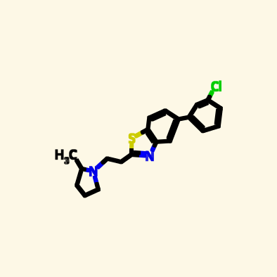 CC1CCCN1CCc1nc2cc(-c3cccc(Cl)c3)ccc2s1